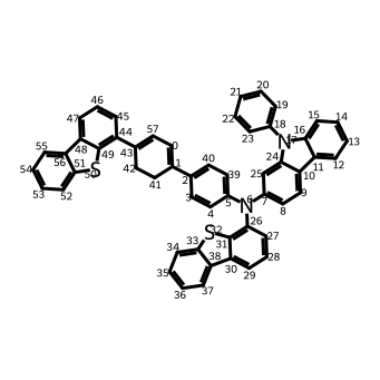 C1=C(c2ccc(N(c3ccc4c5ccccc5n(-c5ccccc5)c4c3)c3cccc4c3sc3ccccc34)cc2)CCC(c2cccc3c2sc2ccccc23)=C1